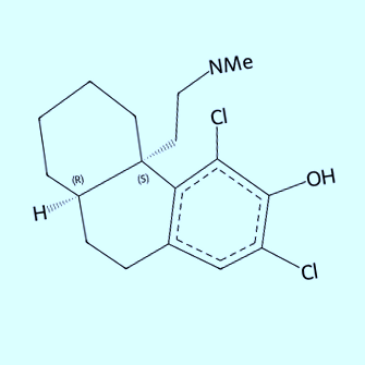 CNCC[C@@]12CCCC[C@@H]1CCc1cc(Cl)c(O)c(Cl)c12